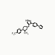 C[C@@H]1CN(Cc2c[nH]nc2-c2ccc(-n3cccc3)cc2)CCN1c1ccc(C(F)(F)F)cn1